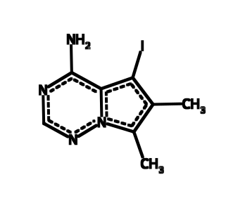 Cc1c(I)c2c(N)ncnn2c1C